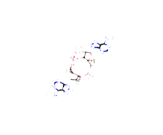 Nc1ncnc2c1ncn2[C@@H]1O[C@@H]2CO[P@@](=O)(S)O[C@H]3[C@@H](F)[C@H](n4cnc5c(N)ncnc54)O[C@@H]3CO[P@@](=O)(S)O[C@H]2[C@H]1O